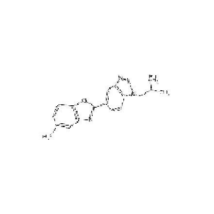 Cc1ccc2oc(-c3ccc4c(c3)nnn4CC(C)C)nc2c1